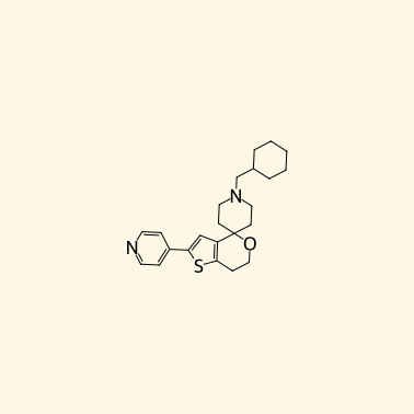 c1cc(-c2cc3c(s2)CCOC32CCN(CC3CCCCC3)CC2)ccn1